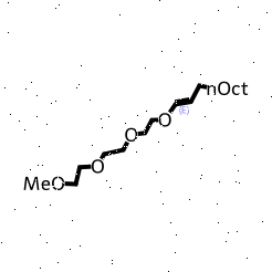 CCCCCCCCC/C=C/OCCOCCOCCOC